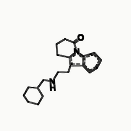 O=C1CCCc2c(CCNCC3CCCCC3)c3ccccc3n21